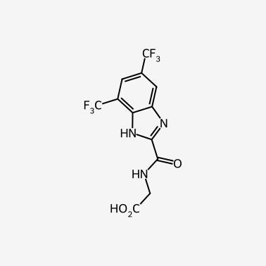 O=C(O)CNC(=O)c1nc2cc(C(F)(F)F)cc(C(F)(F)F)c2[nH]1